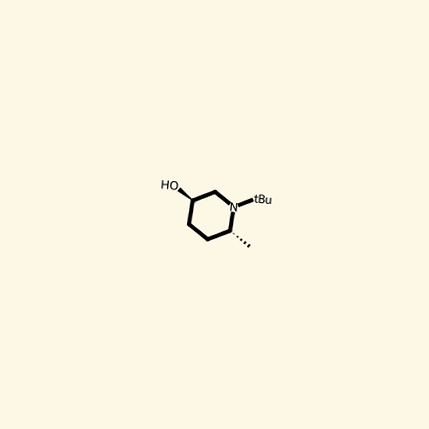 C[C@@H]1CC[C@@H](O)CN1C(C)(C)C